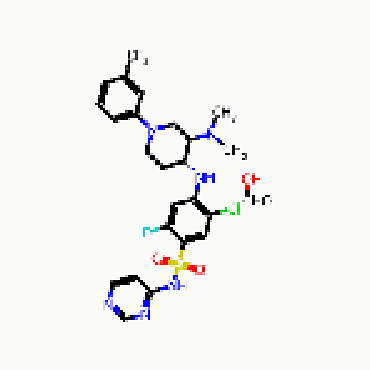 CN(C)[C@@H]1CN(c2cccc(C(F)(F)F)c2)CC[C@H]1Nc1cc(F)c(S(=O)(=O)Nc2ccncn2)cc1Cl.O=CO